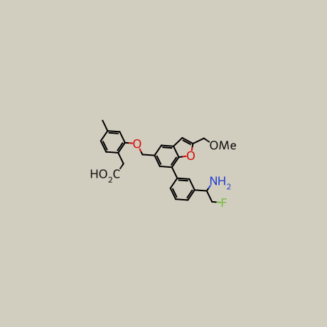 COCc1cc2cc(COc3cc(C)ccc3CC(=O)O)cc(-c3cccc(C(N)CF)c3)c2o1